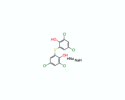 Oc1c(Cl)cc(Cl)cc1Sc1cc(Cl)cc(Cl)c1O.[NaH].[NaH]